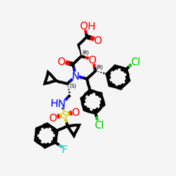 O=C(O)C[C@H]1O[C@H](c2cccc(Cl)c2)C(c2ccc(Cl)cc2)N([C@H](CNS(=O)(=O)C2(c3ccccc3F)CC2)C2CC2)C1=O